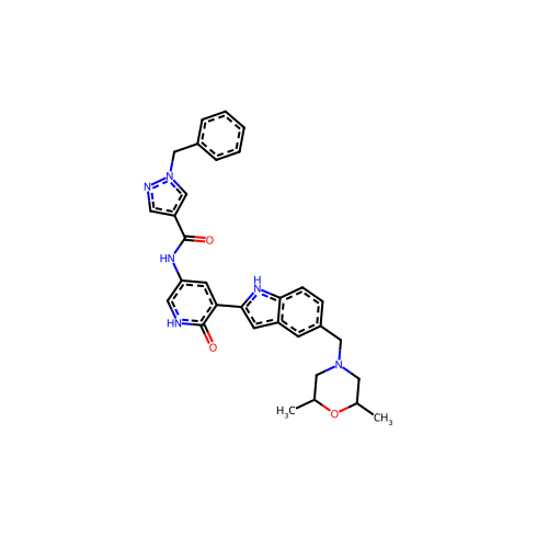 CC1CN(Cc2ccc3[nH]c(-c4cc(NC(=O)c5cnn(Cc6ccccc6)c5)c[nH]c4=O)cc3c2)CC(C)O1